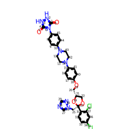 O=c1[nH][nH]c(=O)n1-c1ccc(N2CCN(c3ccc(OC[C@@H]4CO[C@@](Cn5cncn5)(c5ccc(Cl)cc5Cl)O4)cc3)CC2)cc1